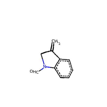 C=C1CN(C=O)c2ccccc21